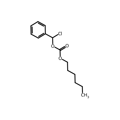 CCCCCCOC(=O)OC(Cl)c1ccccc1